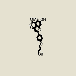 COC(=O)c1cc(O)cc2oc(-c3ccc(OCCCO)cc3)cc(=O)c12